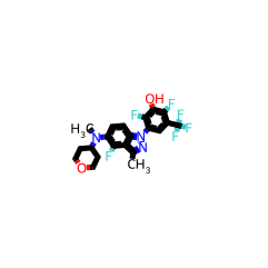 Cc1nn(-c2cc(C(F)(F)F)c(F)c(O)c2F)c2ccc(N(C)C3CCOCC3)c(F)c12